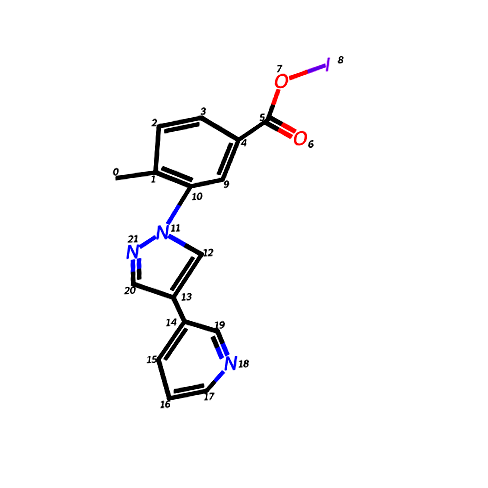 Cc1ccc(C(=O)OI)cc1-n1cc(-c2cccnc2)cn1